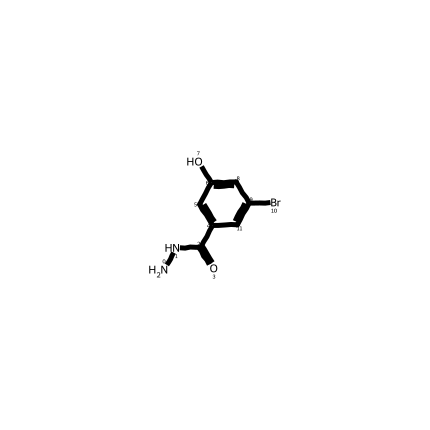 NNC(=O)c1cc(O)cc(Br)c1